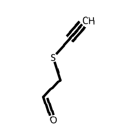 C#CSCC=O